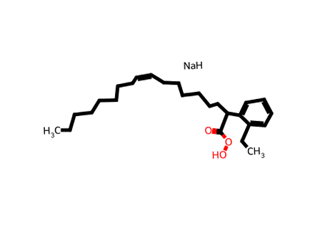 CCCCCCCC/C=C\CCCCCCC(C(=O)OO)c1ccccc1CC.[NaH]